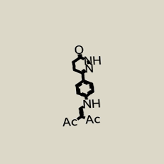 CC(=O)C(=CNc1ccc(C2=NNC(=O)CC2)cc1)C(C)=O